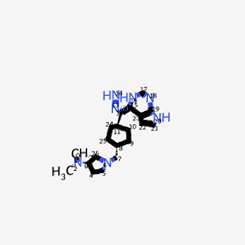 CN(C)[C@H]1CCN(C[C@H]2CC[C@H](/C(N=N)=C3/NC=Nc4[nH]ccc43)CC2)C1